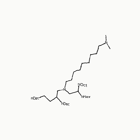 CCCCCCCCCCCCC(CCCCCCCCCC)CN(CCCCCCCCCN(C)C)CC(CCCCCC)CCCCCCCC